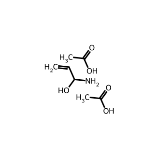 C=CC(N)O.CC(=O)O.CC(=O)O